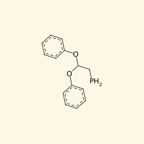 PCC(Oc1ccccc1)Oc1ccccc1